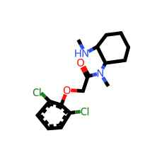 CNC1CCCCC1N(C)C(=O)COc1c(Cl)cccc1Cl